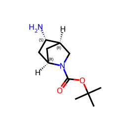 CC(C)(C)OC(=O)N1C[C@H]2C[C@@H]1C[C@@H]2N